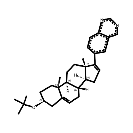 CC(C)(C)O[C@H]1CC[C@@]2(C)C(=CC[C@@H]3[C@@H]2CC[C@]2(C)C(c4ccc5ncncc5c4)=CC[C@@H]32)C1